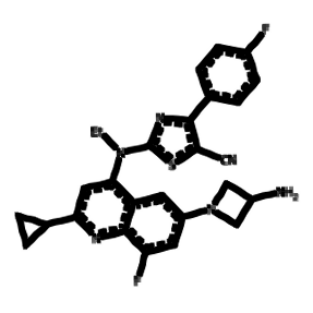 CCN(c1nc(-c2ccc(F)cc2)c(C#N)s1)c1cc(C2CC2)nc2c(F)cc(N3CC(N)C3)cc12